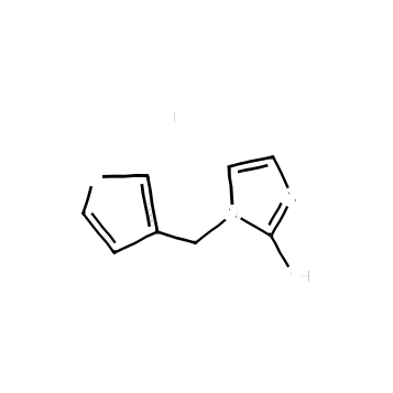 Cl.Sc1nccn1Cc1ccoc1